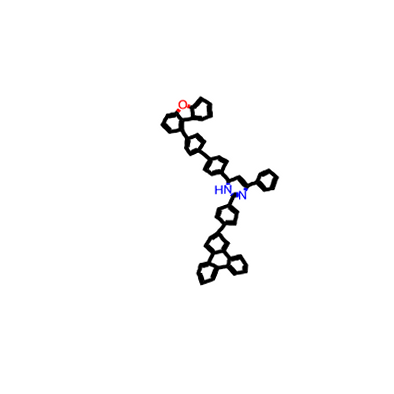 C1=C(c2ccccc2)N=C(c2ccc(-c3ccc4c5ccccc5c5ccccc5c4c3)cc2)NC1c1ccc(-c2ccc(-c3cccc4oc5ccccc5c34)cc2)cc1